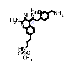 CCCCN/C(Cc1ccc(CN)cc1)=C1\C(=N)C(N)=Nc2cc(CCCNS(C)(=O)=O)ccc21